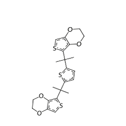 CC(C)(c1ccc(C(C)(C)c2scc3c2OCCO3)s1)c1scc2c1OCCO2